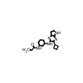 C=CC(=O)Nc1cccc(Nc2nc3cc[nH]c3nc2C2CCC2)c1